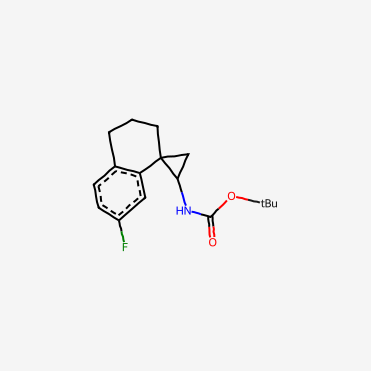 CC(C)(C)OC(=O)NC1CC12CCCc1ccc(F)cc12